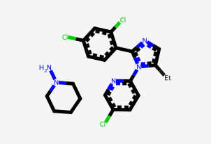 CCc1cnc(-c2ccc(Cl)cc2Cl)n1-c1ccc(Cl)cn1.NN1CCCCC1